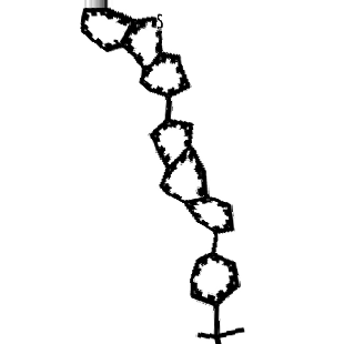 CC(C)(C)c1ccc(-c2ccc3cc4cc(-c5ccc6sc7ccccc7c6c5)ccc4cc3c2)cc1